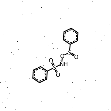 O=S(ONS(=O)(=O)c1ccccc1)c1ccccc1